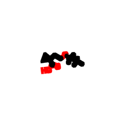 CC(C)(C)[Si](C)(C)OCCC1(C(=O)O)CC1